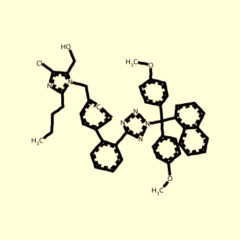 CCCCc1nc(Cl)c(CO)n1Cc1ccc(-c2ccccc2-c2nnn(C(c3ccc(OC)cc3)(c3ccc(OC)cc3)c3cccc4ccccc34)n2)cc1